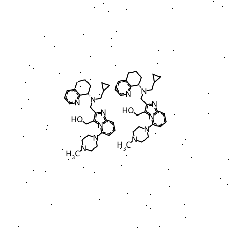 CN1CCN(c2cccc3nc(CN(CC4CC4)[C@H]4CCCc5cccnc54)c(CO)n23)CC1.CN1CCN(c2cccc3nc(CN(CC4CC4)[C@H]4CCCc5cccnc54)c(CO)n23)CC1